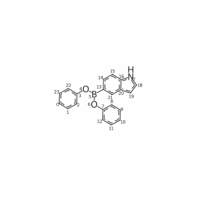 c1ccc(OB(Oc2ccccc2)c2ccc3[nH]ccc3c2)cc1